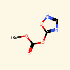 CC(C)(C)OC(=O)Oc1n[c]no1